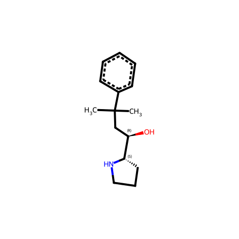 CC(C)(C[C@@H](O)[C@@H]1CCCN1)c1ccccc1